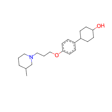 CC1CCCN(CCCOc2ccc(C3CCC(O)CC3)cc2)C1